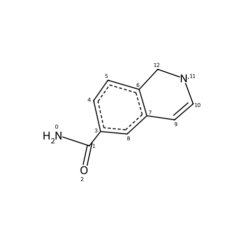 NC(=O)c1ccc2c(c1)C=C[N]C2